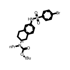 CCCN(C(=O)OC(C)(C)C)[C@@H]1CCc2cc(NS(=O)(=O)c3ccc(Br)cc3)ccc2C1